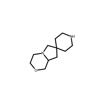 C1CC2(CCN1)CC1COCCN1C2